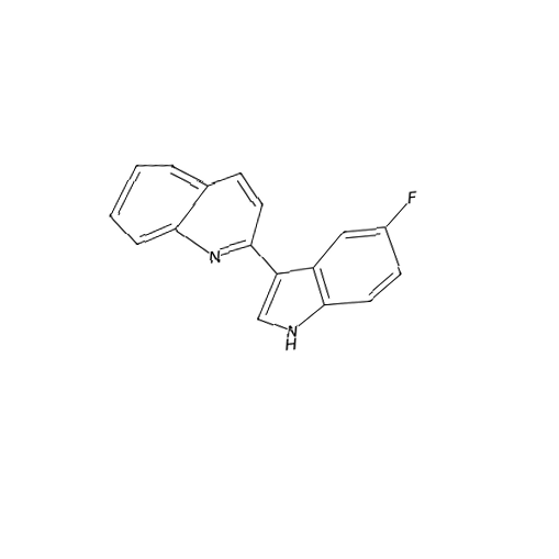 Fc1ccc2[nH]cc(-c3ccc4ccccc4n3)c2c1